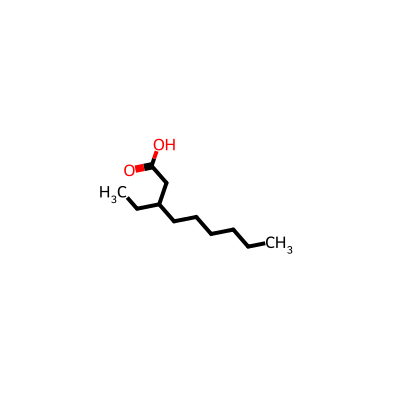 CCCCCCC(CC)CC(=O)O